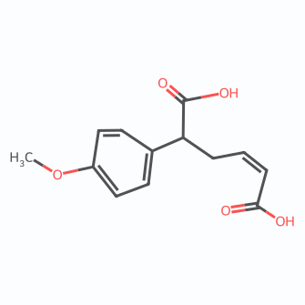 COc1ccc(C(C/C=C\C(=O)O)C(=O)O)cc1